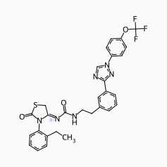 CCc1ccccc1N1C(=O)SC/C1=N\C(=O)NCCc1cccc(-c2ncn(-c3ccc(OC(F)(F)F)cc3)n2)c1